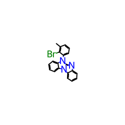 Cc1cccc(-n2c3ccccc3n3c4ccccc4nc23)c1Br